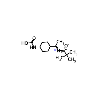 C/C(=N\[S@@+]([O-])C(C)(C)C)[C@H]1CC[C@H](NC(=O)O)CC1